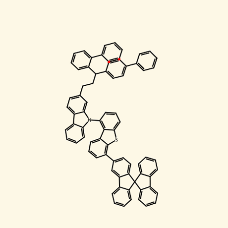 c1ccc(-c2ccc(C(CCc3ccc4c5ccccc5n(-c5cccc6sc7c(-c8ccc9c(c8)-c8ccccc8C98c9ccccc9-c9ccccc98)cccc7c56)c4c3)c3ccccc3-c3ccccc3)cc2)cc1